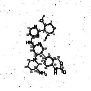 COc1cccc(F)c1-c1nccc(Nc2cc(N3CCC[C@H](N)C3)c(-c3ccc4c(c3)COC(=O)N4)cn2)n1